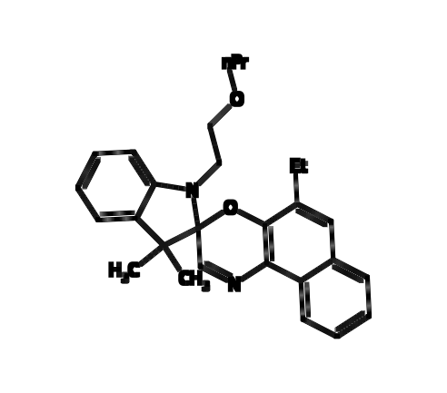 CCCOCCN1c2ccccc2C(C)(C)C12C=Nc1c(c(CC)cc3ccccc13)O2